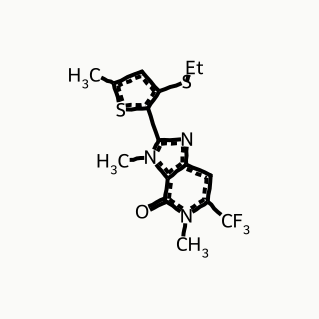 CCSc1cc(C)sc1-c1nc2cc(C(F)(F)F)n(C)c(=O)c2n1C